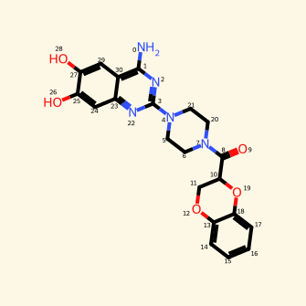 Nc1nc(N2CCN(C(=O)C3COc4ccccc4O3)CC2)nc2cc(O)c(O)cc12